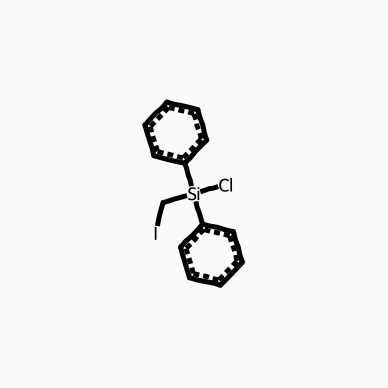 Cl[Si](CI)(c1ccccc1)c1ccccc1